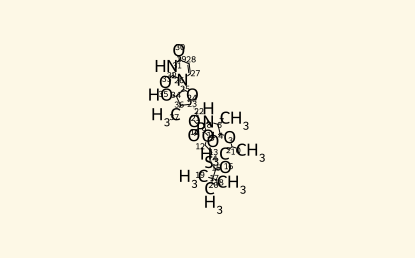 CC(C)OC(=O)[C@@H](C)N[P@](=O)(OCCSC(=O)C(C)(C)C)OC[C@H]1O[C@@H](n2ccc(=O)[nH]c2=O)[C@H](O)[C@@H]1C